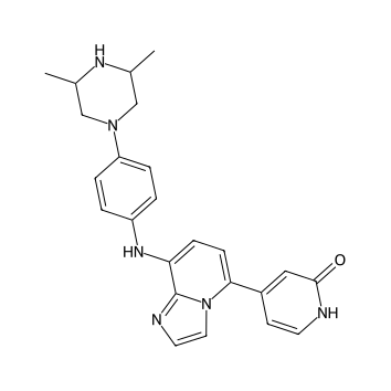 CC1CN(c2ccc(Nc3ccc(-c4cc[nH]c(=O)c4)n4ccnc34)cc2)CC(C)N1